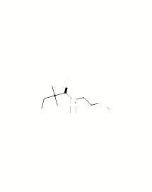 CCC(C)(C)C(=O)NCCOC